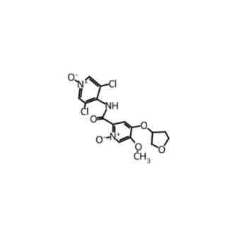 COc1c[n+]([O-])c(C(=O)Nc2c(Cl)c[n+]([O-])cc2Cl)cc1OC1CCOC1